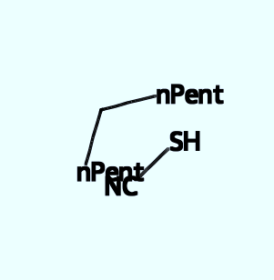 CCCCCCCCCCC.N#CS